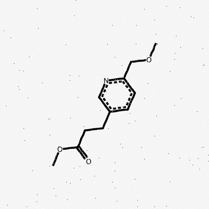 COCc1ccc(CCC(=O)OC)cn1